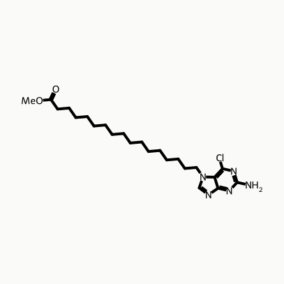 COC(=O)CCCCCCCCCCCCCCCCn1cnc2nc(N)nc(Cl)c21